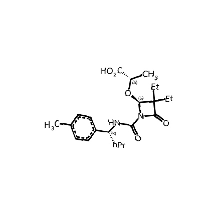 CCC[C@@H](NC(=O)N1C(=O)C(CC)(CC)[C@@H]1O[C@@H](C)C(=O)O)c1ccc(C)cc1